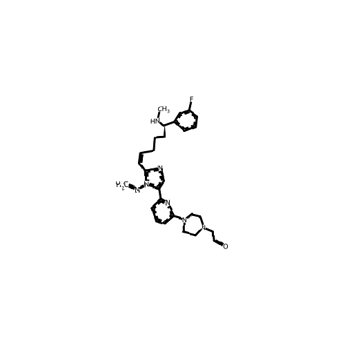 C=Nn1c(-c2cccc(N3CCN(CC=O)CC3)n2)cnc1/C=C\CCC[C@@H](NC)c1cccc(F)c1